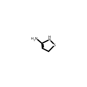 NC1=CCSN1